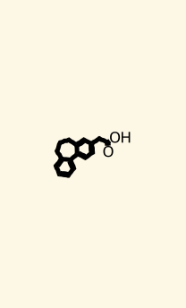 O=C(O)Cc1ccc2c(c1)CCCc1ccccc1-2